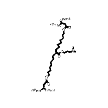 CCCCCC(CCCCC)CC(=O)OCCCCCCCCC(CCCCCCCCOC(=O)CC(CCCCC)CCCCC)C(=O)OCCCN(C)C